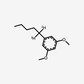 [2H]C([2H])(CCCC)c1cc(OC)cc(OC)c1